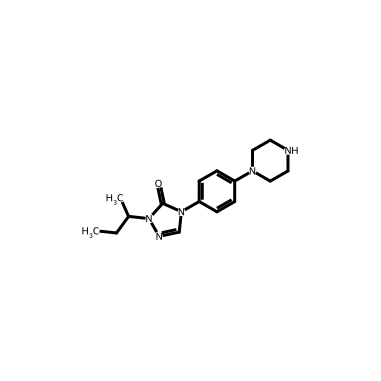 CCC(C)n1ncn(-c2ccc(N3CCNCC3)cc2)c1=O